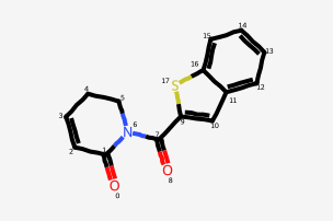 O=C1C=CCCN1C(=O)c1cc2ccccc2s1